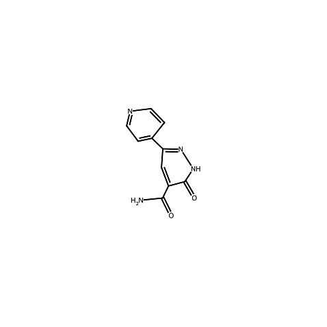 NC(=O)c1cc(-c2ccncc2)n[nH]c1=O